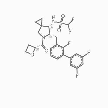 O=C([C@H]1CCO1)N1CC2(CC2)[C@H](NS(=O)(=O)C(F)F)[C@@H]1Cc1cccc(-c2cc(F)cc(F)c2)c1F